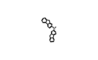 CN(c1ccc2c(c1)Cc1ccccc1-2)c1ccc2c(c1)Cc1ccccc1-2